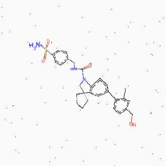 Cc1cc(CO)ccc1-c1ccc2c(c1)C1(CCCC1)CN2C(=O)NCc1ccc(S(N)(=O)=O)cc1